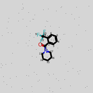 O=C(c1ccccc1C(F)(F)F)N1CCCCC1